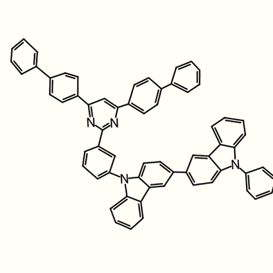 c1ccc(-c2ccc(-c3cc(-c4ccc(-c5ccccc5)cc4)nc(-c4cccc(-n5c6ccccc6c6cc(-c7ccc8c(c7)c7ccccc7n8-c7ccccc7)ccc65)c4)n3)cc2)cc1